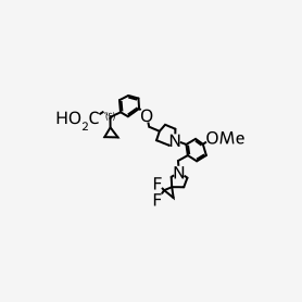 COc1ccc(CN2CCC3(C2)CC3(F)F)c(N2CCC(COc3cccc([C@@H](CC(=O)O)C4CC4)c3)CC2)c1